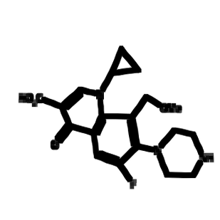 COCc1c(N2CCNCC2)c(F)cc2c(=O)c(C(=O)O)cn(C3CC3)c12